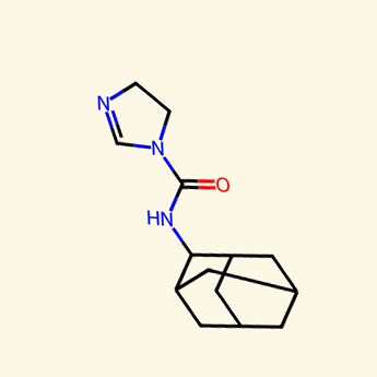 O=C(NC1C2CC3CC(C2)CC1C3)N1C=NCC1